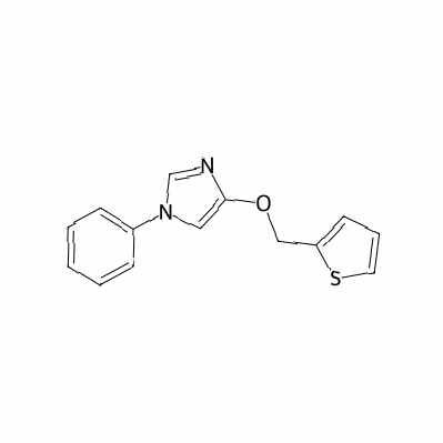 c1ccc(-n2cnc(OCc3cccs3)c2)cc1